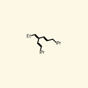 CCC=C(C=CCC(C)C)C=CC(C)C